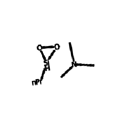 CCC[SiH]1OO1.CN(C)C